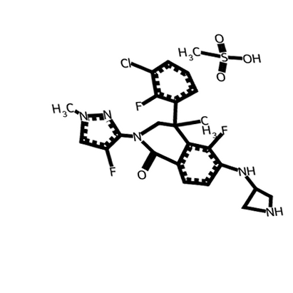 CS(=O)(=O)O.Cn1cc(F)c(N2CC(C)(c3cccc(Cl)c3F)c3c(ccc(NC4CNC4)c3F)C2=O)n1